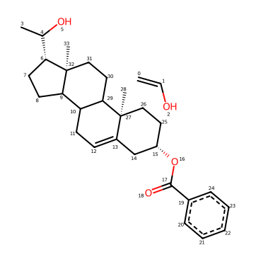 C=CO.CC(O)[C@H]1CCC2C3CC=C4C[C@@H](OC(=O)c5ccccc5)CC[C@]4(C)C3CC[C@@]21C